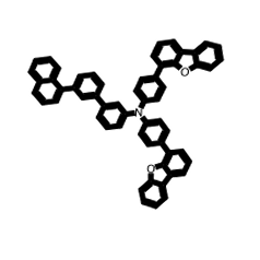 c1cc(-c2cccc(N(c3ccc(-c4cccc5c4oc4ccccc45)cc3)c3ccc(-c4cccc5c4oc4ccccc45)cc3)c2)cc(-c2cccc3ccccc23)c1